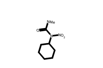 CNC(=O)N(C1CCCCC1)[N+](=O)[O-]